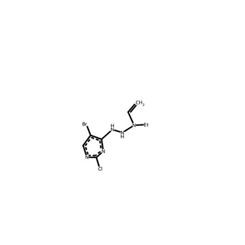 C=CN(CC)NNc1nc(Cl)ncc1Br